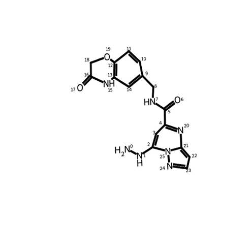 NNc1cc(C(=O)NCc2ccc3c(c2)NC(=O)CO3)nc2ccnn12